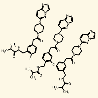 CC(C)C(=O)NCc1cc(CC(=O)N2CCN(c3ccc4nncn4n3)CC2)ccc1Cl.CC(C)C(=O)NCc1ccc(CC(=O)N2CCN(c3ccc4nncn4n3)CC2)cc1Cl.CC(C)C(=O)NCc1cccc(CC(=O)N2CCN(c3ccc4nncn4n3)CC2)c1